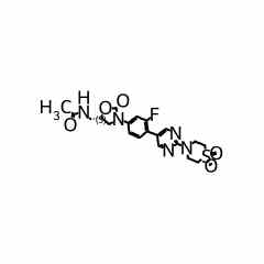 CC(=O)NC[C@H]1CN(c2ccc(-c3cnc(N4CCS(=O)(=O)CC4)nc3)c(F)c2)C(=O)O1